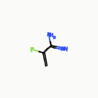 C=C(F)C(=N)N